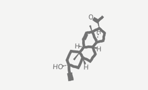 C#C[C@@]1(O)CC[C@@]2(C)[C@H](CC[C@H]3[C@@H]4CC[C@H](C(C)=O)[C@@]4(C)C=C[C@@H]32)C1